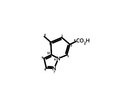 Cc1cc(C(=O)O)cn2nccc12